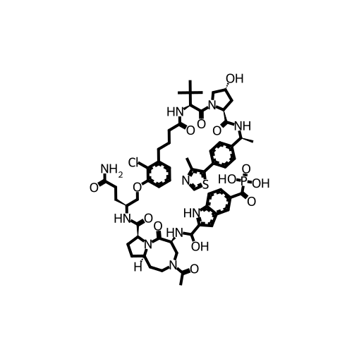 CC(=O)N1CC[C@H]2CC[C@@H](C(=O)N[C@@H](CCC(N)=O)COc3cccc(CCCC(=O)N[C@H](C(=O)N4C[C@H](O)C[C@H]4C(=O)N[C@@H](C)c4ccc(-c5scnc5C)cc4)C(C)(C)C)c3Cl)N2C(=O)[C@@H](NC(O)c2cc3cc(C(=O)P(=O)(O)O)ccc3[nH]2)C1